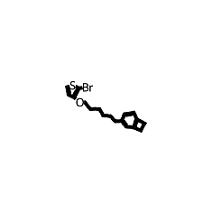 Brc1sccc1OCCCCCCc1ccc2c(c1)CC2